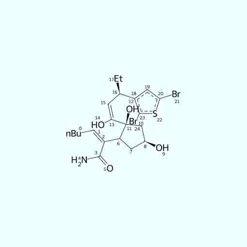 CCCCC=C(C(N)=O)C1C[C@H](O)C[C@@]1(O)/C(O)=C\[C@@H](CC)c1cc(Br)sc1Br